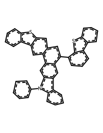 c1ccc(-n2c3ccccc3c3cc4c(-c5cccc6c5sc5ccccc56)cc5cc6sc7ccccc7c6cc5c4cc32)cc1